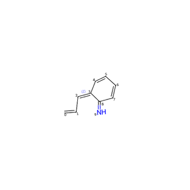 C=C/C=C1/C=CC=CC1=N